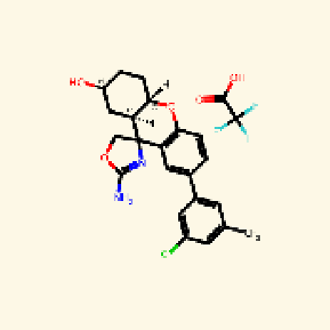 NC1=NC2(CO1)c1cc(-c3cc(Cl)cc(C(F)(F)F)c3)ccc1O[C@H]1CC[C@H](O)C[C@@H]12.O=C(O)C(F)(F)F